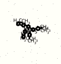 CC(C)(C)c1ccc(Nc2cc3sc4cc(C(C)(C)C)ccc4c3cc2-c2ccc3c4cc5c(cc4n4c3c2Bc2cc3c(cc2-4)sc2ccccc23)-c2ccccc2C5(C)C)cc1